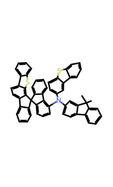 CC1(C)c2ccccc2-c2ccc(N(c3ccc4sc5ccccc5c4c3)c3cccc4c3-c3ccccc3C43c4ccccc4-c4ccc5c(sc6ccccc65)c43)cc21